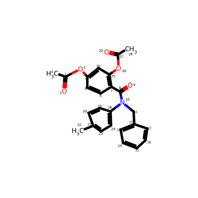 CC(=O)Oc1ccc(C(=O)N(Cc2ccccc2)c2ccc(C)cc2)c(OC(C)=O)c1